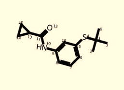 CC(C)(C)Sc1cccc(NC(=O)C2CC2)c1